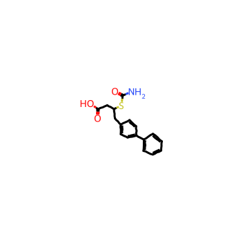 NC(=O)SC(CC(=O)O)Cc1ccc(-c2ccccc2)cc1